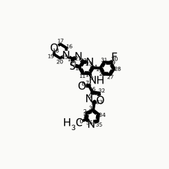 Cc1cc(-c2nc(C(=O)Nc3cc4sc(N5CCOCC5)nc4nc3-c3cccc(F)c3)co2)ccn1